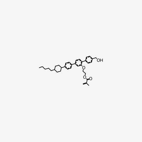 C=C(C)C(=O)OCCOc1cc(-c2ccc(C3CCC(CCCCC)CC3)cc2)ccc1-c1ccc(CO)cc1